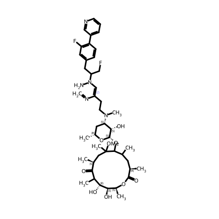 C=N/C(=C\N(N)C(CF)Cc1ccc(-c2cccnc2)c(F)c1)CCN(C)[C@H]1C[C@@H](C)O[C@@H](OC2C(C)C[C@@H](C)C(=O)O[C@@H](C)[C@@H](O)[C@H](O)C(C)C(=O)[C@@H](C)CC2(C)OC)[C@H]1O